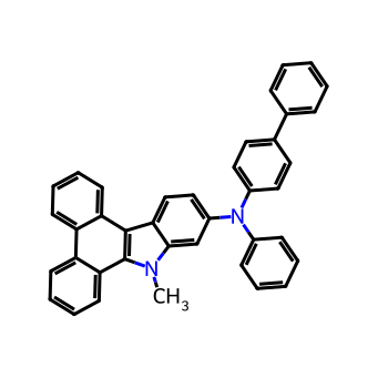 Cn1c2cc(N(c3ccccc3)c3ccc(-c4ccccc4)cc3)ccc2c2c3ccccc3c3ccccc3c21